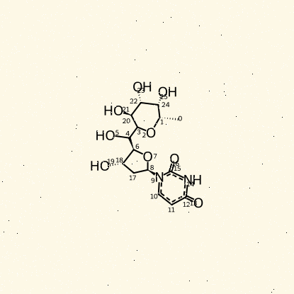 C[C@@H]1OC(C(O)[C@H]2O[C@@H](n3ccc(=O)[nH]c3=O)C[C@@H]2O)[C@@H](O)[C@H](O)[C@@H]1O